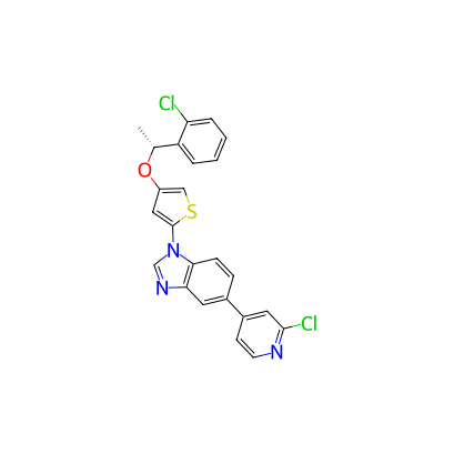 C[C@@H](Oc1csc(-n2cnc3cc(-c4ccnc(Cl)c4)ccc32)c1)c1ccccc1Cl